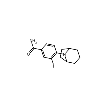 NC(=O)c1ccc(N2C3CCCC2CC3)c(F)c1